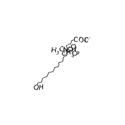 C[N+](C)(C)CC(CC(=O)[O-])OC(=O)CCCCCCCCCCCCCO